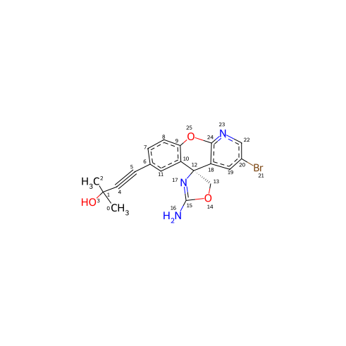 CC(C)(O)C#Cc1ccc2c(c1)[C@@]1(COC(N)=N1)c1cc(Br)cnc1O2